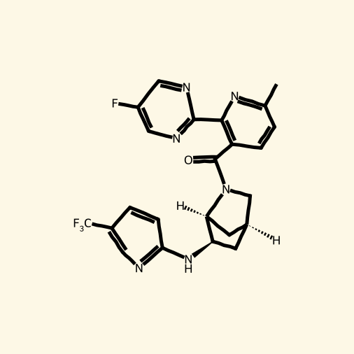 Cc1ccc(C(=O)N2C[C@H]3C[C@@H](Nc4ccc(C(F)(F)F)cn4)[C@@H]2C3)c(-c2ncc(F)cn2)n1